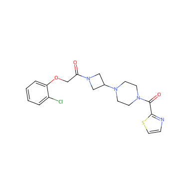 O=C(COc1ccccc1Cl)N1CC(N2CCN(C(=O)c3nccs3)CC2)C1